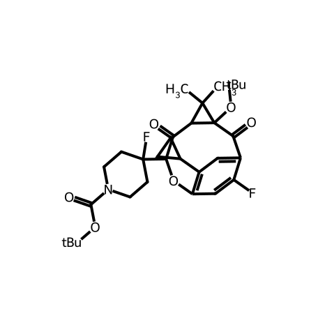 CC(C)(C)OC(=O)N1CCC(F)(C2Oc3cc(F)c(cc3C3CC3)C(=O)C3(OC(C)(C)C)C(C2=O)C3(C)C)CC1